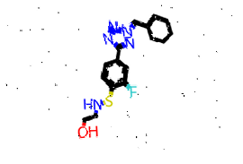 OCCNSc1ccc(-c2nnn(CC3CCCCC3)n2)cc1F